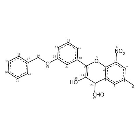 Cc1cc2c(c([N+](=O)[O-])c1)OC(c1cccc(OCc3ccccc3)c1)=C(O)C2C=O